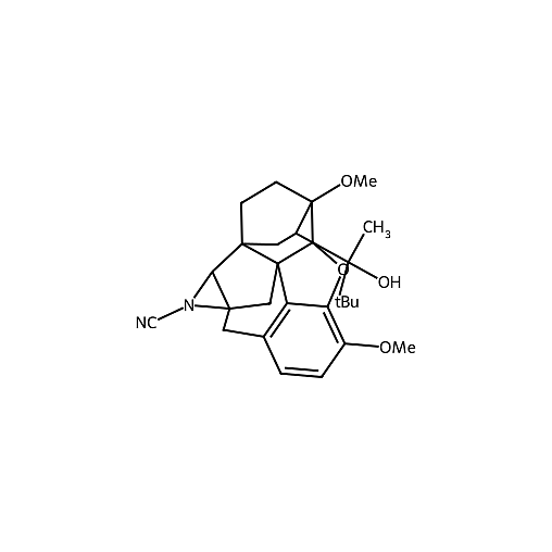 COc1ccc2c3c1OC1C4(OC)CCC5(CC4C(C)(O)C(C)(C)C)C4N(C#N)C4(C2)CC315